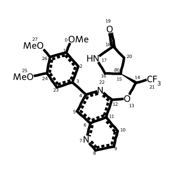 COc1cc(-c2cc3ncccc3c(OC([C@H]3CNC(=O)C3)C(F)(F)F)n2)cc(OC)c1OC